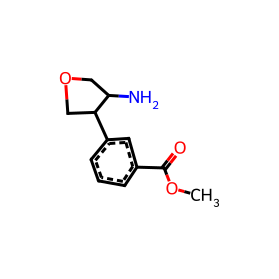 COC(=O)c1cccc(C2COCC2N)c1